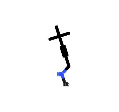 CCNCC#CC(C)(C)C